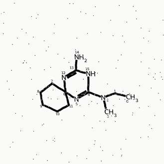 CCN(C)C1=NC2(CCCCC2)N=C(N)N1